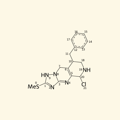 CSC1=NC2=NC3=C(CN2N1)C(Cc1ccccc1)CNC3Cl